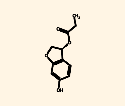 CCC(=O)O[C@@H]1COc2cc(O)ccc21